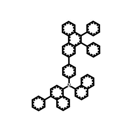 c1ccc(-c2ccc(N(c3ccc(-c4ccc5c(c4)c(-c4ccccc4)c(-c4ccccc4)c4ccccc45)cc3)c3cccc4ccccc34)c3ccccc23)cc1